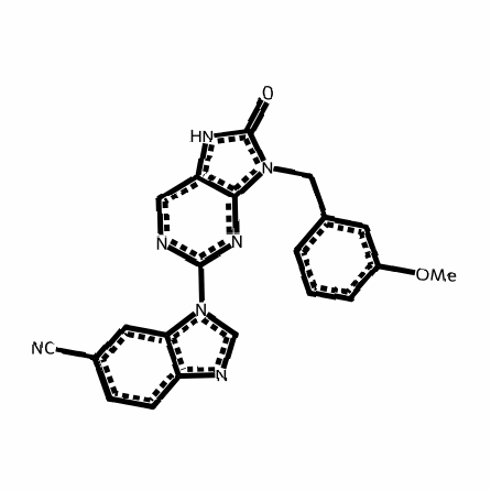 COc1cccc(Cn2c(=O)[nH]c3cnc(-n4cnc5ccc(C#N)cc54)nc32)c1